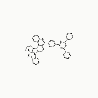 C=Cc1c(/C=C\C)c2c3c(ccc2n1-c1ccccc1)c(-c1ccc(-c2nc(-c4ccccc4)cc(-c4ccccc4)n2)cc1)nc1ccccc13